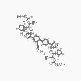 CC#Cc1cc(-c2cnc([C@@H]3[C@H]4CC[C@H](C4)N3C(=O)[C@@H](NC(=O)OC)C(C)C)[nH]2)ccc1-c1ccc(-c2cnc([C@@H]3CCCN3C(=O)[C@@H](NC(=O)OC)C(C)C)[nH]2)cc1